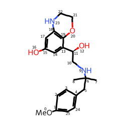 COc1ccc(CC(C)(C)NC[C@H](O)c2cc(O)cc3c2OCCN3)cc1